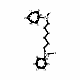 CN(CCCCCCN(C)c1ccccc1)c1ccccc1